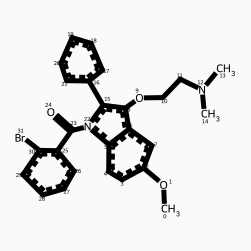 COc1ccc2c(c1)c(OCCN(C)C)c(-c1ccccc1)n2C(=O)c1ccccc1Br